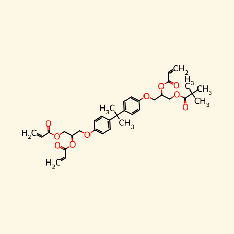 C=CC(=O)OCC(COc1ccc(C(C)(C)c2ccc(OCC(COC(=O)C(C)(C)C)OC(=O)C=C)cc2)cc1)OC(=O)C=C